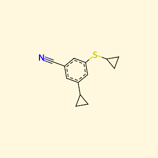 N#Cc1cc(SC2CC2)cc(C2CC2)c1